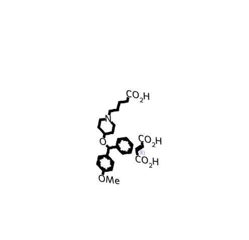 COc1ccc(C(OC2CCN(CCCCC(=O)O)CC2)c2ccccc2)cc1.O=C(O)/C=C/C(=O)O